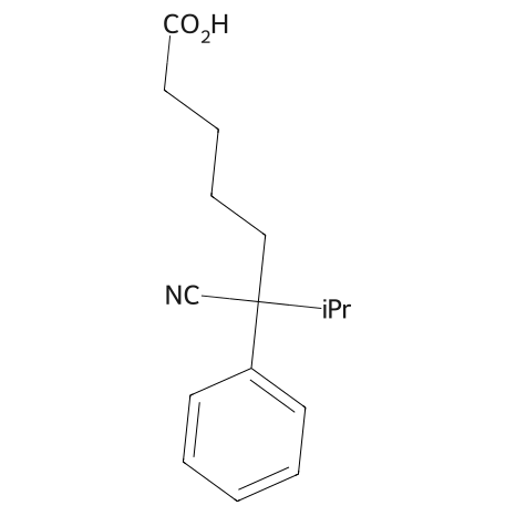 CC(C)C(C#N)(CCCCC(=O)O)c1ccccc1